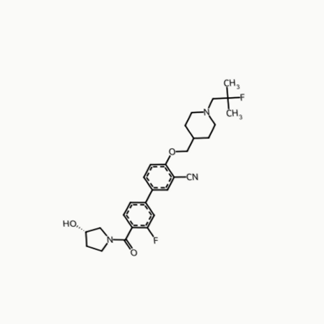 CC(C)(F)CN1CCC(COc2ccc(-c3ccc(C(=O)N4CC[C@H](O)C4)c(F)c3)cc2C#N)CC1